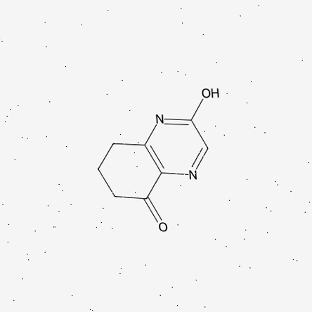 O=C1CCCc2nc(O)cnc21